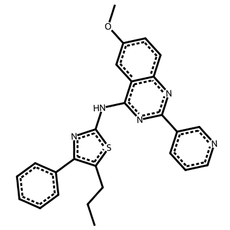 CCCc1sc(Nc2nc(-c3cccnc3)nc3ccc(OC)cc23)nc1-c1ccccc1